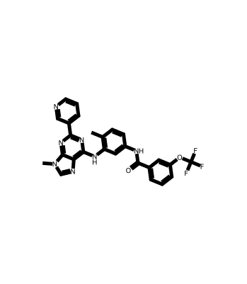 Cc1ccc(NC(=O)c2cccc(OC(F)(F)F)c2)cc1Nc1nc(-c2cccnc2)nc2c1ncn2C